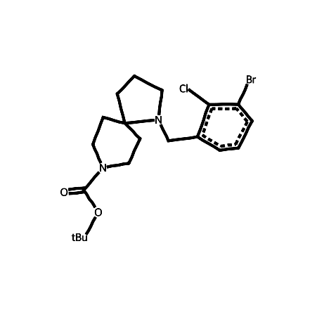 CC(C)(C)OC(=O)N1CCC2(CCCN2Cc2cccc(Br)c2Cl)CC1